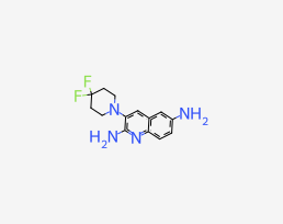 Nc1ccc2nc(N)c(N3CCC(F)(F)CC3)cc2c1